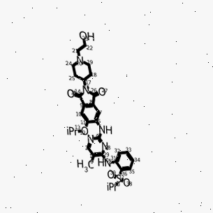 Cc1cnc(Nc2cc3c(cc2OC(C)C)C(=O)N(C2CCN(CCO)CC2)C3=O)nc1Nc1ccccc1S(=O)(=O)C(C)C